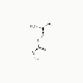 CCCOC(=O)CCN(C)C